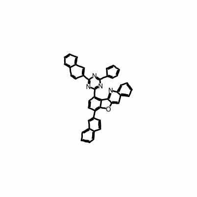 c1ccc(-c2nc(-c3ccc4ccccc4c3)nc(-c3ccc(-c4ccc5ccccc5c4)c4oc5cc6ccccc6nc5c34)n2)cc1